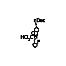 CCCCCCCCCCC#Cc1ccc(CN(CCc2ccccc2F)C(=O)C(=O)O)cc1